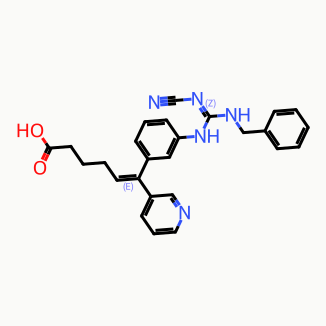 N#C/N=C(/NCc1ccccc1)Nc1cccc(/C(=C\CCCC(=O)O)c2cccnc2)c1